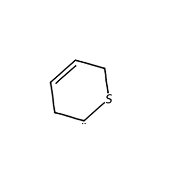 [C]1CC=CCS1